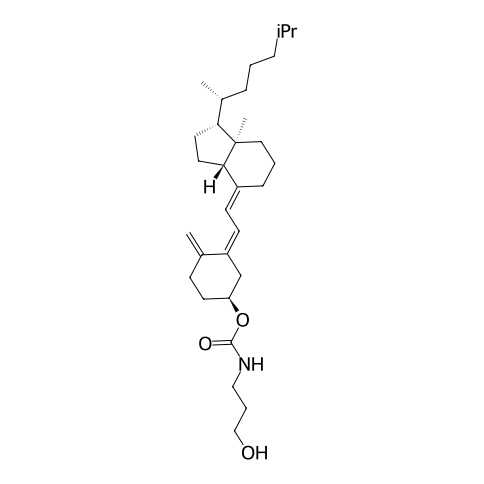 C=C1CC[C@H](OC(=O)NCCCO)C/C1=C/C=C1\CCC[C@]2(C)[C@@H]([C@H](C)CCCC(C)C)CC[C@@H]12